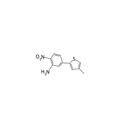 Cc1csc(-c2ccc([N+](=O)[O-])c(N)c2)c1